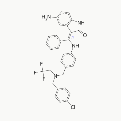 Nc1ccc2c(c1)/C(=C(/Nc1ccc(CN(Cc3ccc(Cl)cc3)CC(F)(F)F)cc1)c1ccccc1)C(=O)N2